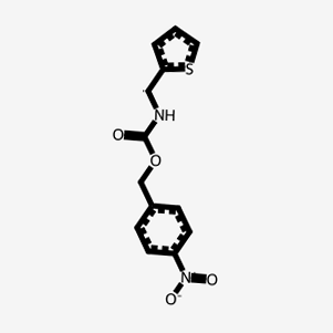 O=C(N[CH]c1cccs1)OCc1ccc([N+](=O)[O-])cc1